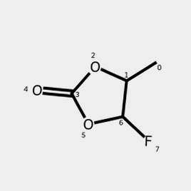 CC1OC(=O)OC1F